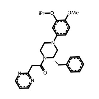 COc1ccc(N2CCN(C(=O)Cc3ncccn3)[C@@H](Cc3ccccc3)C2)cc1OC(C)C